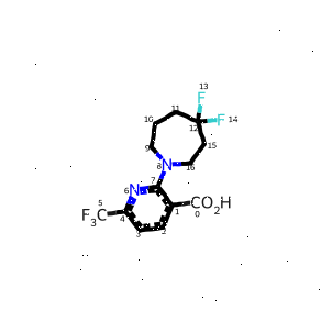 O=C(O)c1ccc(C(F)(F)F)nc1N1CCCC(F)(F)CC1